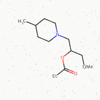 CCC(=O)OC(COC)CN1CCC(C)CC1